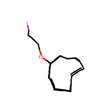 ICCOC1CC/C=C/CCC1